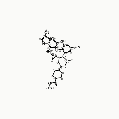 C[C@H]1CN(C2CCN(C(=O)OC(C)(C)C)CC2)CCN1c1cc(C#N)cc(Nc2nc(NC3CC3)n3ncc(C#N)c3n2)c1Cl